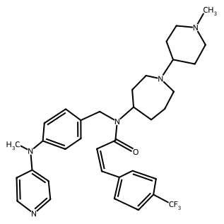 CN1CCC(N2CCCC(N(Cc3ccc(N(C)c4ccncc4)cc3)C(=O)C=Cc3ccc(C(F)(F)F)cc3)CC2)CC1